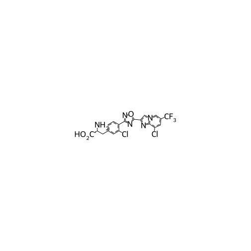 N[C@@H](Cc1ccc(-c2noc(-c3cn4cc(C(F)(F)F)cc(Cl)c4n3)n2)c(Cl)c1)C(=O)O